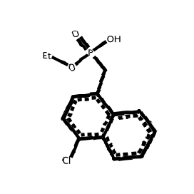 CCOP(=O)(O)Cc1ccc(Cl)c2ccccc12